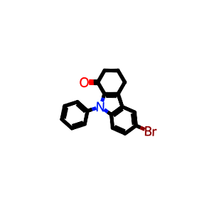 O=C1CCCc2c1n(-c1ccccc1)c1ccc(Br)cc21